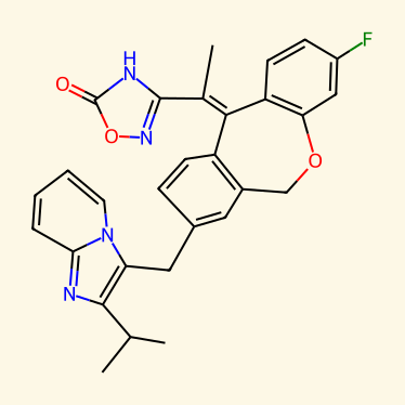 CC(=C1c2ccc(Cc3c(C(C)C)nc4ccccn34)cc2COc2cc(F)ccc21)c1noc(=O)[nH]1